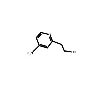 Nc1ccnc(CCO)c1